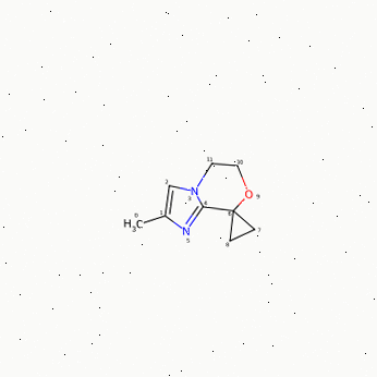 Cc1cn2c(n1)C1(CC1)OCC2